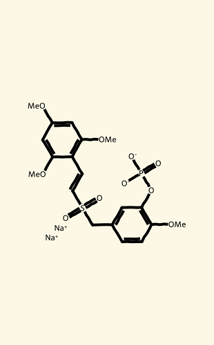 COc1cc(OC)c(/C=C/S(=O)(=O)Cc2ccc(OC)c(OP(=O)([O-])[O-])c2)c(OC)c1.[Na+].[Na+]